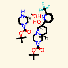 CC(C)(C)OC(=O)N1CCN2C[C@@](O)(c3cccc(C(F)(F)F)n3)CC[C@@H]2C1.CC(C)(C)OC(=O)N1CCN[C@H](CO)C1